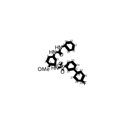 COc1ccc(NC(=O)Nc2ccccc2)cc1NS(=O)(=O)c1cccc(-c2ccc(F)cc2)c1